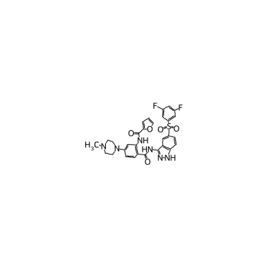 CN1CCN(c2ccc(C(=O)Nc3n[nH]c4ccc(S(=O)(=O)c5cc(F)cc(F)c5)cc34)c(NC(=O)c3ccco3)c2)CC1